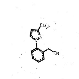 N#CCc1ccccc1-n1ccc(C(=O)O)n1